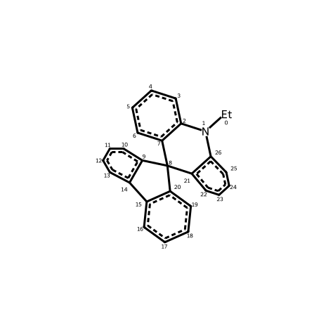 CCN1c2ccccc2C2(c3ccccc3-c3ccccc32)c2ccccc21